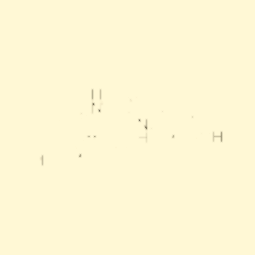 O=C(NCCCO)c1[nH]c2ccc(F)cc2c1I